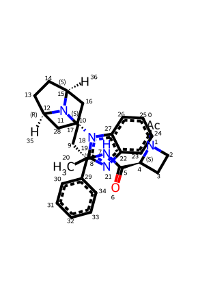 CC(=O)N1CC[C@H]1C(=O)N[C@@H](CCN1[C@@H]2CC[C@H]1C[C@H](n1c(C)nc3ccccc31)C2)c1ccccc1